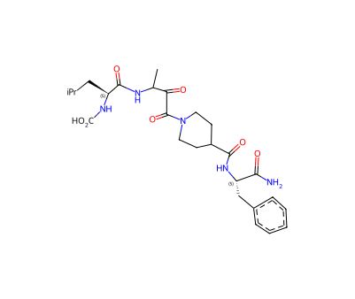 CC(C)C[C@H](NC(=O)O)C(=O)NC(C)C(=O)C(=O)N1CCC(C(=O)N[C@@H](Cc2ccccc2)C(N)=O)CC1